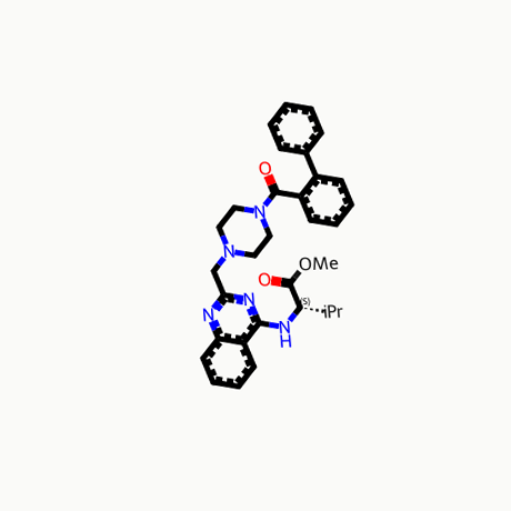 COC(=O)[C@@H](Nc1nc(CN2CCN(C(=O)c3ccccc3-c3ccccc3)CC2)nc2ccccc12)C(C)C